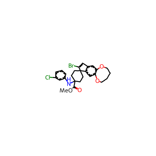 COC(=O)C1(Nc2cccc(Cl)c2)CCC2(CC1)C(Br)=Cc1cc3c(cc12)OCCCCO3